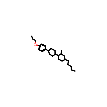 CCCCCC1CCC(C2CCC(c3ccc(OCCC)cc3)CC2)C(C)C1